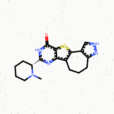 CN1CCCC[C@@H]1c1nc2c3c(sc2c(=O)[nH]1)-c1c[nH]nc1CCC3